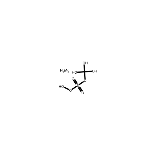 O=S(=O)(OO)OC(O)(O)O.[MgH2]